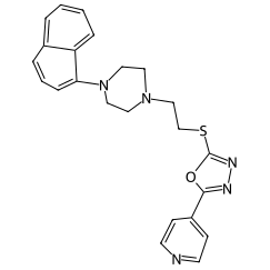 c1ccc2c(N3CCN(CCSc4nnc(-c5ccncc5)o4)CC3)cccc2c1